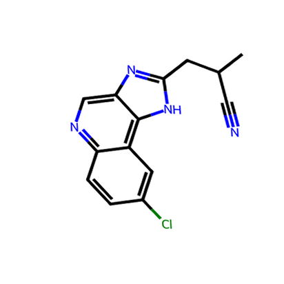 CC(C#N)Cc1nc2cnc3ccc(Cl)cc3c2[nH]1